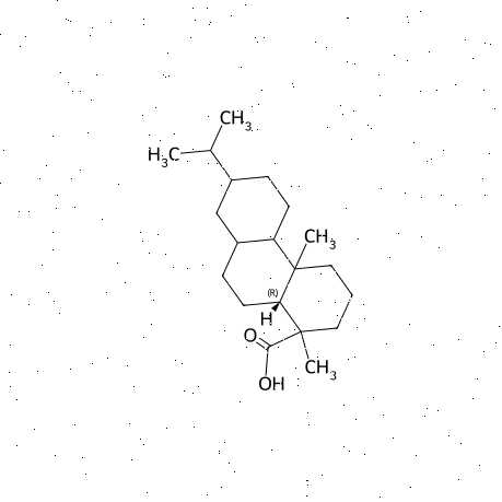 CC(C)C1CCC2C(CC[C@H]3C(C)(C(=O)O)CCCC23C)C1